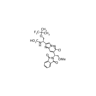 COC[C@H](c1cc2nc([C@H](COC(C)(C)C(F)(F)F)NC(=O)O)cn2nc1Cl)N1C(=O)c2ccccc2C1=O